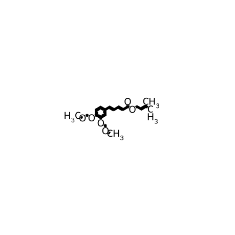 COCOc1ccc(C=CC=CC(=O)OCC=C(C)C)cc1OCOC